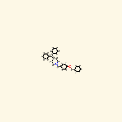 c1ccc(COc2ccc(CN3CCC(C(c4ccccc4)c4ccccc4)CC3)cc2)cc1